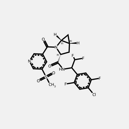 CS(=O)(=O)c1cncc(C(=O)N2[C@@H](C(=O)NC(c3cc(F)c(Cl)cc3F)C(F)F)C[C@H]3C[C@H]32)c1